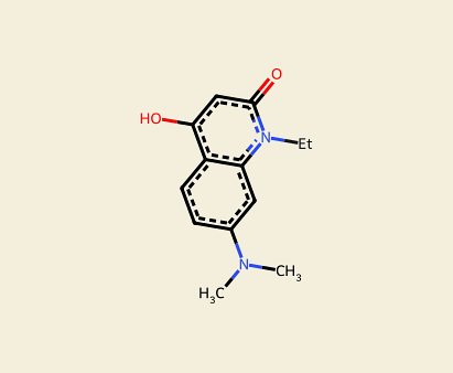 CCn1c(=O)cc(O)c2ccc(N(C)C)cc21